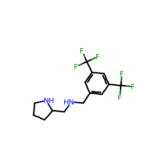 FC(F)(F)c1cc(CNCC2CCCN2)cc(C(F)(F)F)c1